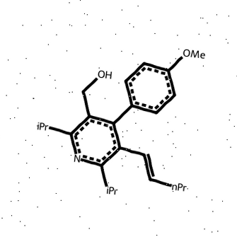 CCCC=Cc1c(C(C)C)nc(C(C)C)c(CO)c1-c1ccc(OC)cc1